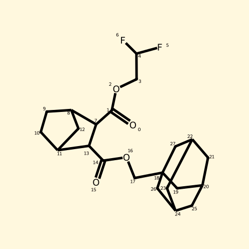 O=C(OCC(F)F)C1C2CCC(C2)C1C(=O)OCC12CC3CC(CC(C3)C1)C2